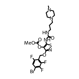 COC(=O)Oc1c(OCc2c(F)cc(Br)c(F)c2F)nsc1NC(=O)NCCCN1CCN(C)CC1